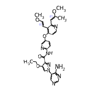 CCOc1cn(-c2cncnc2N)nc1C(=O)Nc1ccc(Oc2ccnc(/C=C(\C)OC)c2/C=C/OC)cn1